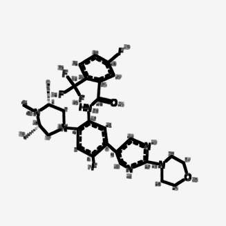 C[C@@H]1CN(c2cc(F)c(-c3cnc(N4CCOCC4)nc3)cc2NC(=O)c2cc(F)ccc2C(F)(F)F)C[C@H](C)N1C